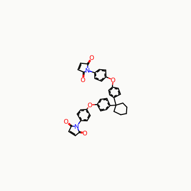 O=C1C=CC(=O)N1c1ccc(Oc2ccc(C3(c4ccc(Oc5ccc(N6C(=O)C=CC6=O)cc5)cc4)CCCCC3)cc2)cc1